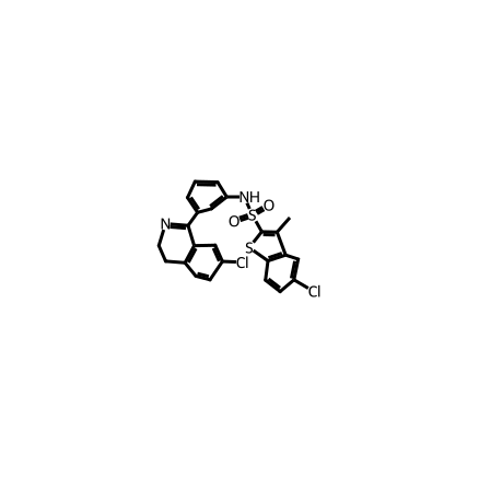 Cc1c(S(=O)(=O)Nc2cccc(C3=NCCc4ccc(Cl)cc43)c2)sc2ccc(Cl)cc12